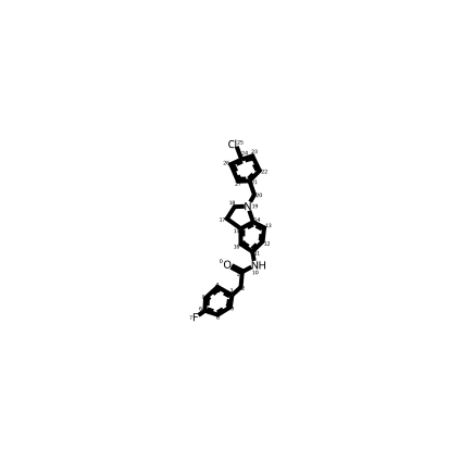 O=C(Cc1ccc(F)cc1)Nc1ccc2c(c1)CCN2Cc1ccc(Cl)cc1